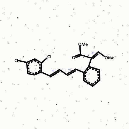 CO/C=C(/C(=O)OC)c1ccccc1/C=C/C=C/c1ccc(Cl)cc1Cl